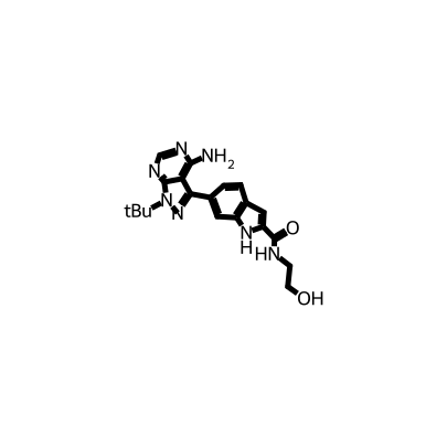 CC(C)(C)n1nc(-c2ccc3cc(C(=O)NCCO)[nH]c3c2)c2c(N)ncnc21